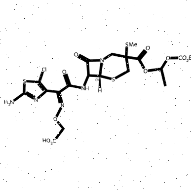 CCOC(=O)OC(C)OC(=O)C1(SC)CS[C@@H]2C(NC(=O)C(=NOCC(=O)O)c3nc(N)sc3Cl)C(=O)N2C1